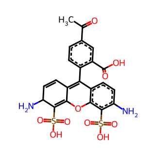 CC(=O)c1ccc(C2=C3C=CC(N)C(S(=O)(=O)O)=C3Oc3c2ccc(N)c3S(=O)(=O)O)c(C(=O)O)c1